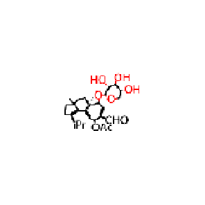 CC(=O)OC1C=C2C3=C(C(C)C)CC[C@]3(C)CC[C@@]2(C)[C@@H](O[C@@H]2OC[C@@H](O)[C@H](O)[C@H]2O)C=C1C=O